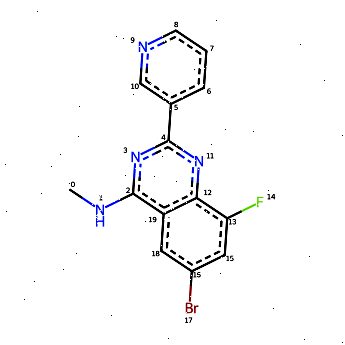 CNc1nc(-c2cccnc2)nc2c(F)cc(Br)cc12